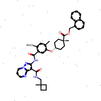 COc1cc(C)c(O[C@H]2CC[C@@](C)(C(=O)OCc3cccc4ccccc34)CC2)cc1C(=O)Nc1nn2cccnc2c1C(=O)NCC1(C)CCC1